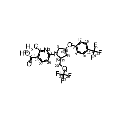 Cc1nc(N2C[C@@H](Oc3ccc(C(F)(F)F)cc3)C[C@H]2COC(F)(F)F)ccc1C(=O)O